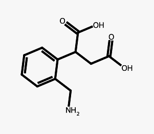 NCc1ccccc1C(CC(=O)O)C(=O)O